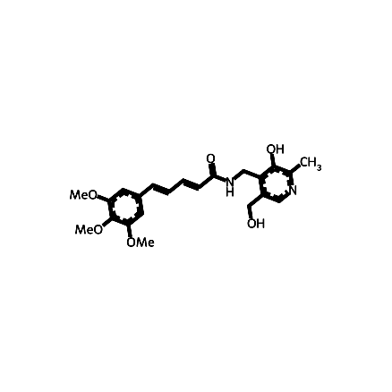 COc1cc(C=CC=CC(=O)NCc2c(CO)cnc(C)c2O)cc(OC)c1OC